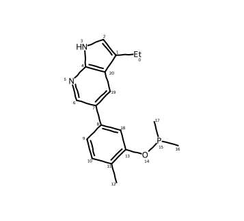 CCc1c[nH]c2ncc(-c3ccc(C)c(OP(C)C)c3)cc12